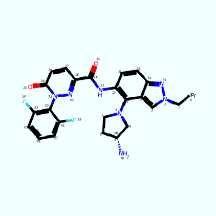 CC(C)Cn1cc2c(N3CC[C@@H](N)C3)c(NC(=O)c3ccc(=O)n(-c4c(F)cccc4F)n3)ccc2n1